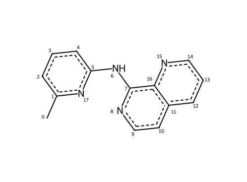 Cc1cccc(Nc2nccc3cccnc23)n1